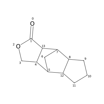 O=C1OCC2C3CC(C4CCCC34)C12